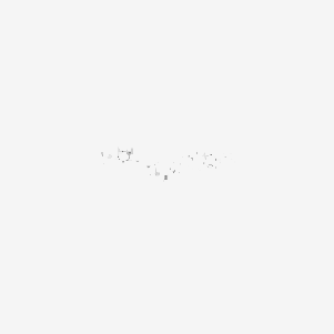 Cn1nc(C2CC2)cc1CN1CC2(C1)CN(C(=O)N1CC3(CC(c4cc(C5CC5)n[nH]4)C3)C1)C2